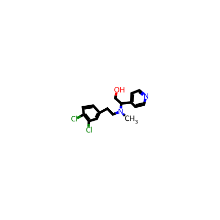 CN(CCc1ccc(Cl)c(Cl)c1)C(CO)c1ccncc1